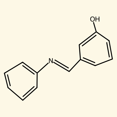 Oc1cccc(/C=N/c2ccccc2)c1